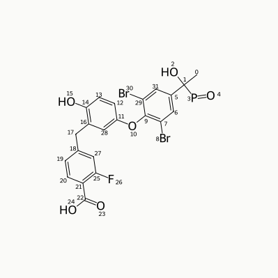 CC(O)(P=O)c1cc(Br)c(Oc2ccc(O)c(Cc3ccc(C(=O)O)c(F)c3)c2)c(Br)c1